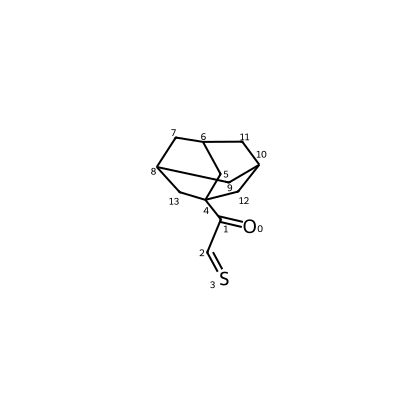 O=C(C=S)C12CC3CC(CC(C3)C1)C2